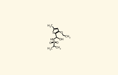 CCOc1cc(C)sc1C(O)NS(=O)(=O)C(C)C